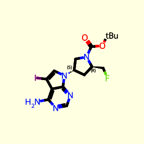 CC(C)(C)OC(=O)N1C[C@@H](n2cc(I)c3c(N)ncnc32)C[C@@H]1CF